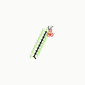 CC(F)C(F)(F)C(F)(F)C(F)(F)C(F)(F)C(F)(F)C(F)(F)C(F)(F)C(F)(F)C(F)(F)S(=O)(=O)[O-].[Li+]